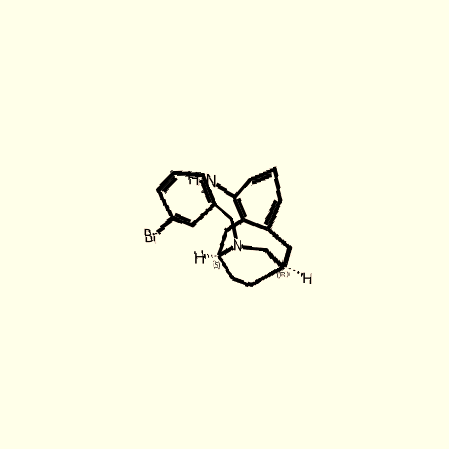 Nc1cccc2c1C[C@@H]1CC[C@H](C2)CN1Cc1cccc(Br)c1